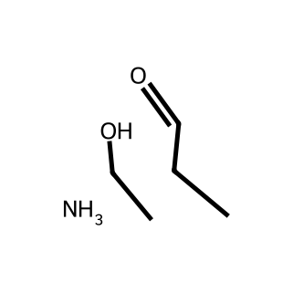 CCC=O.CCO.N